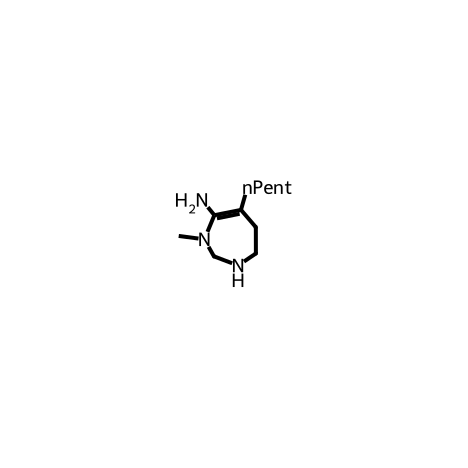 CCCCCC1=C(N)N(C)CNCC1